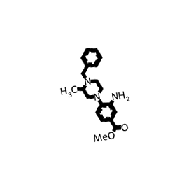 COC(=O)c1ccc(N2CCN(Cc3ccccc3)C(C)C2)c(N)c1